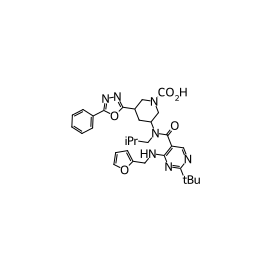 CC(C)CN(C(=O)c1cnc(C(C)(C)C)nc1NCc1ccco1)C1CC(c2nnc(-c3ccccc3)o2)CN(C(=O)O)C1